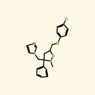 CN1OC(COc2ccc(Cl)cc2)CC1(Cn1ccnc1)c1ccccc1